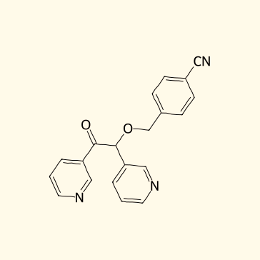 N#Cc1ccc(COC(C(=O)c2cccnc2)c2cccnc2)cc1